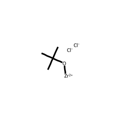 CC(C)(C)[O][Zr+2].[Cl-].[Cl-]